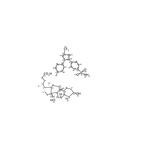 C[C@H](CCC(=O)O)[C@H]1CC[C@H]2[C@@H]3[C@@H](O)C[C@@H]4C[C@H](O)CC[C@]4(C)[C@H]3CC[C@]12C.Cc1ccc(-c2cc(C(F)(F)F)nn2-c2ccc(S(N)(=O)=O)cc2)cc1